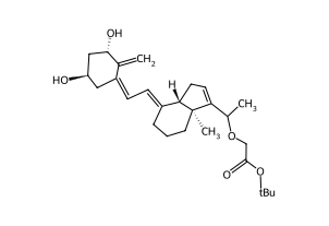 C=C1/C(=C\C=C2/CCC[C@]3(C)C(C(C)OCC(=O)OC(C)(C)C)=CC[C@@H]23)C[C@@H](O)C[C@@H]1O